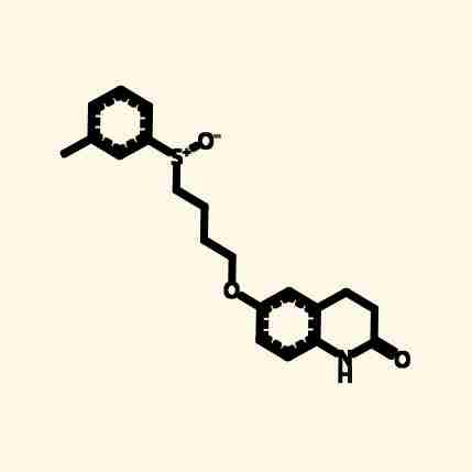 Cc1cccc([S+]([O-])CCCCOc2ccc3c(c2)CCC(=O)N3)c1